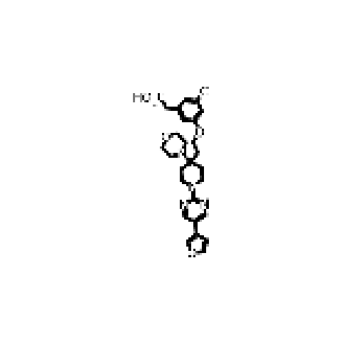 O=C(O)Cc1cc(Cl)cc(OCCC2(N3CCOCC3)CCN(c3ncc(-c4ccoc4)cn3)CC2)c1